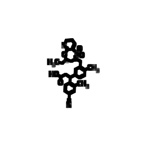 CC[C@@H]1CN(Cc2cc(C(CC(=O)O)c3ccc(C#N)cc3C)ccc2C)S(=O)(=O)c2cccnc2O1